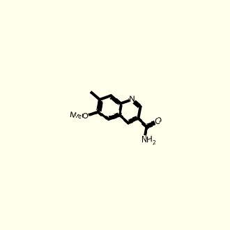 COc1cc2cc(C(N)=O)cnc2cc1C